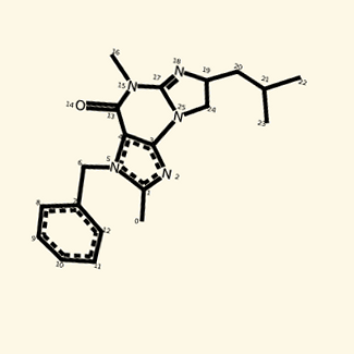 Cc1nc2c(n1Cc1ccccc1)C(=O)N(C)C1=NC(CC(C)C)CN12